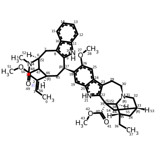 C/C=C1/CN(C)[C@H]2Cc3c([nH]c4ccccc34)[C@@H](c3cc4[nH]c5c(c4cc3OC)CC[N@@]3C[C@@H]4C[C@H](CC)[C@H]3[C@@]5(C(=O)OC)C4)C[C@@H]1C2C(=O)OC